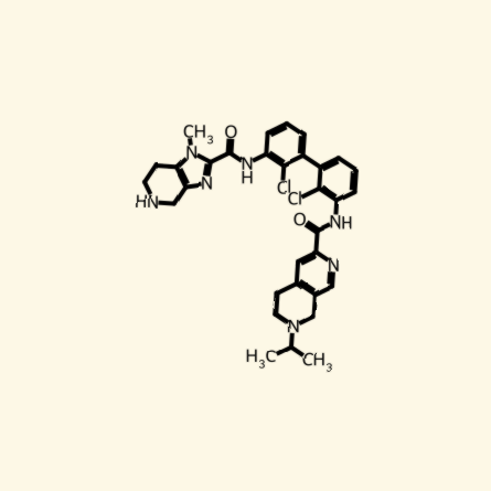 CC(C)N1CCc2cc(C(=O)Nc3cccc(-c4cccc(NC(=O)c5nc6c(n5C)CCNC6)c4Cl)c3Cl)ncc2C1